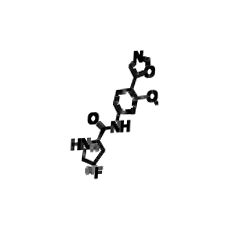 COc1cc(NC(=O)[C@H]2C[C@H](F)CN2)ccc1-c1cnco1